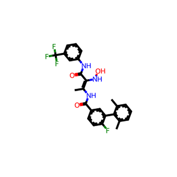 C/C(NC(=O)c1ccc(F)c(-c2c(C)cccc2C)c1)=C(/NO)C(=O)Nc1cccc(C(F)(F)F)c1